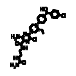 CC[C@H]1CN(c2nc(N)c(C(=O)NCCNC(N)=O)nc2Cl)CCN1C1CCN(C(O)c2ccc(Cl)cc2)CC1